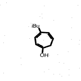 CCC(C)C1=CC=C(O)CC=C1